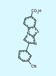 N#Cc1cccc(-c2cn3c(n2)sc2cc(C(=O)O)ccc23)c1